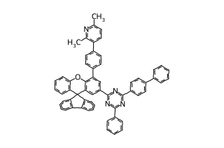 Cc1ccc(-c2ccc(-c3cc(-c4nc(-c5ccccc5)nc(-c5ccc(-c6ccccc6)cc5)n4)cc4c3Oc3ccccc3C43c4ccccc4-c4ccccc43)cc2)c(C)n1